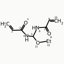 C=CC(=O)NC(NC(=O)C=C)OCC